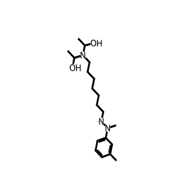 Cc1cccc(N(C)[N]CCCCCCCN(C(C)O)C(C)O)c1